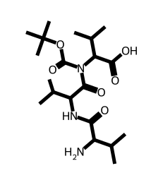 CC(C)C(N)C(=O)NC(C(=O)N(C(=O)OC(C)(C)C)C(C(=O)O)C(C)C)C(C)C